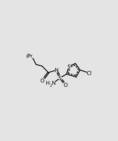 CC(C)CCC(=O)N=S(N)(=O)c1cc(Cl)cs1